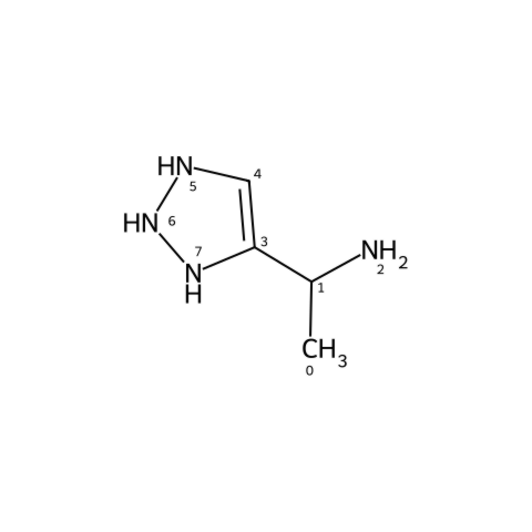 CC(N)C1=CNNN1